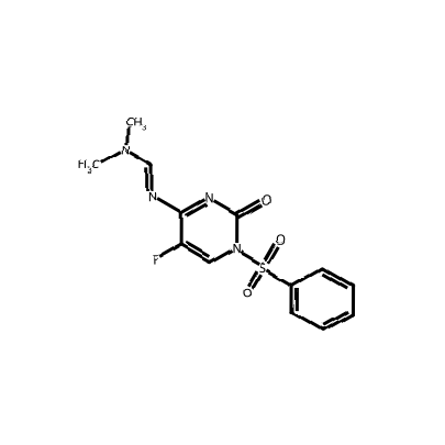 CN(C)C=Nc1nc(=O)n(S(=O)(=O)c2ccccc2)cc1F